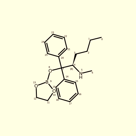 CCCC[C@@H](NC)C(OB1OCCO1)(c1ccccc1)c1ccccc1